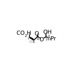 CCCC(O)OC(=O)/C=C\C(=O)O